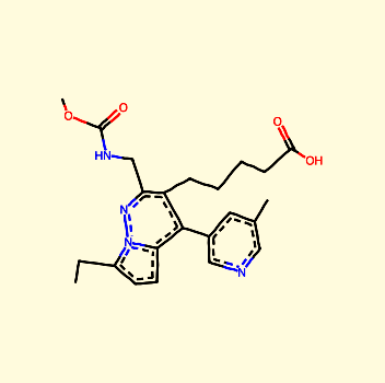 CCc1ccc2c(-c3cncc(C)c3)c(CCCCC(=O)O)c(CNC(=O)OC)nn12